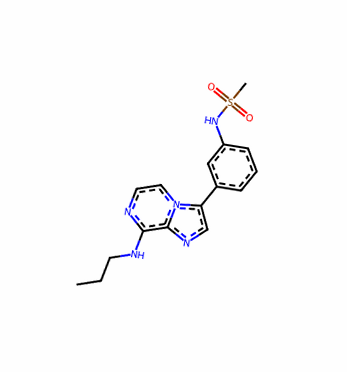 CCCNc1nccn2c(-c3cccc(NS(C)(=O)=O)c3)cnc12